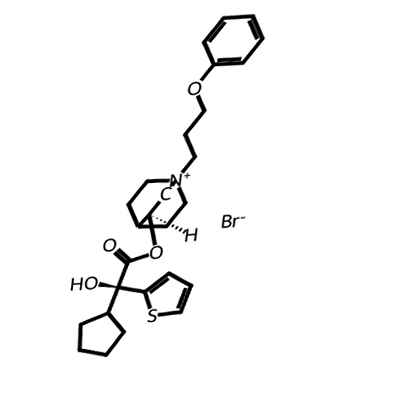 O=C(O[C@@H]1C[N+]2(CCCOc3ccccc3)CCC1CC2)[C@](O)(c1cccs1)C1CCCC1.[Br-]